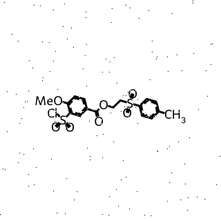 COc1ccc(C(=O)OCCS(=O)(=O)c2ccc(C)cc2)cc1S(=O)(=O)Cl